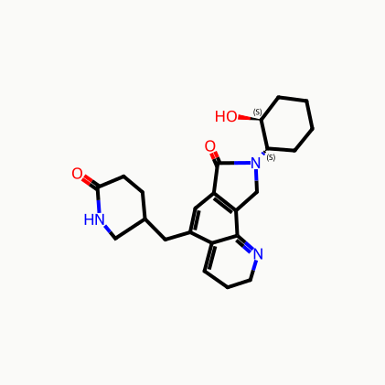 O=C1CCC(Cc2cc3c(c4c2=CCCN=4)CN([C@H]2CCCC[C@@H]2O)C3=O)CN1